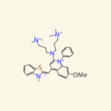 COc1ccc2c(/C=C3\Sc4ccccc4N3C)cc(N(CCC[N+](C)(C)C)CCC[N+](C)(C)C)[n+](-c3ccccc3)c2c1